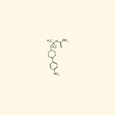 CC(C)(CC1CCN(c2ccc([N+](=O)[O-])cc2)CC1)OC(N)=O